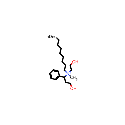 CCCCCCCCCCCCCCCCCC[N+](C)(CCO)C(CCO)c1ccccc1